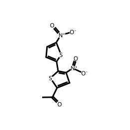 CC(=O)c1cc([N+](=O)[O-])c(-c2ccc([N+](=O)[O-])s2)s1